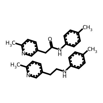 Cc1ccc(NC(=O)Cc2ccc(C)nc2)cc1.Cc1ccc(NCCc2ccc(C)nc2)cc1